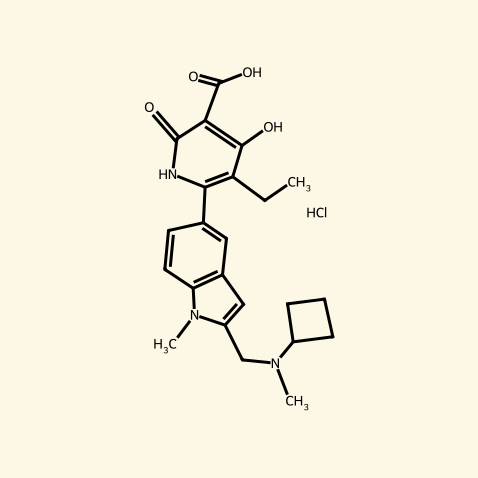 CCc1c(-c2ccc3c(c2)cc(CN(C)C2CCC2)n3C)[nH]c(=O)c(C(=O)O)c1O.Cl